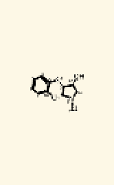 CCN1C[C@H](Sc2ccccc2Cl)[C@@H](O)C1